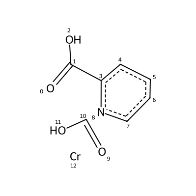 O=C(O)c1ccccn1.O=CO.[Cr]